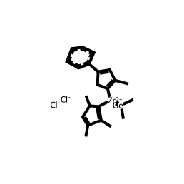 CC1=CC(C)[C]([Zr+2]([C]2=C(C)C=C(c3ccccc3)C2)=[Ge]([CH3])[CH3])=C1C.[Cl-].[Cl-]